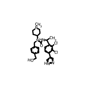 CC(NC(=O)N(Cc1ccc(CO)cc1)C1CCN(C)CC1)c1ccc(-c2cn[nH]c2)c(Cl)c1Cl